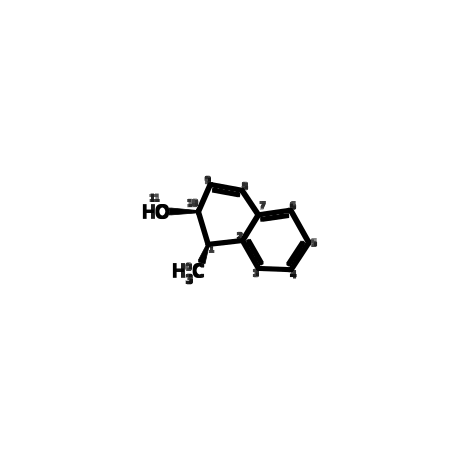 C[C@@H]1c2ccccc2C=C[C@@H]1O